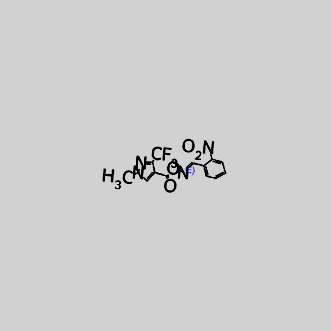 Cn1cc(C(=O)O/N=C/c2ccccc2[N+](=O)[O-])c(C(F)(F)F)n1